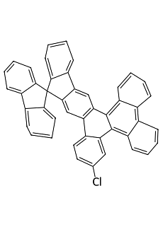 Clc1ccc2c3cc4c(cc3c3c5ccccc5c5ccccc5c3c2c1)-c1ccccc1C41c2ccccc2-c2ccccc21